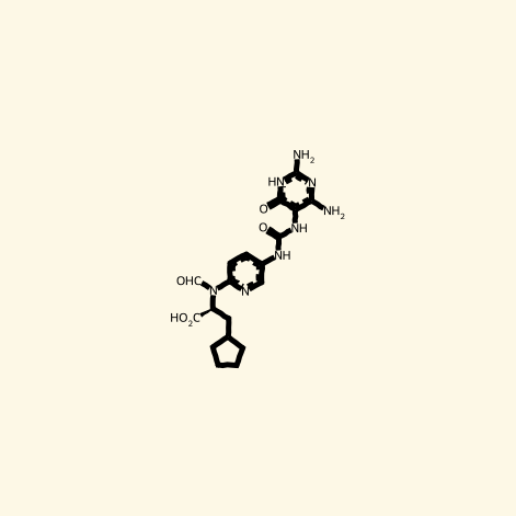 Nc1nc(N)c(NC(=O)Nc2ccc(N(C=O)[C@@H](CC3CCCC3)C(=O)O)nc2)c(=O)[nH]1